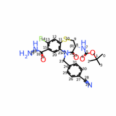 CC(C)(C)OC(=O)N[C@H]1CSc2cc(F)c(C(=O)NN)cc2N(Cc2ccc(C#N)cc2)C1=O